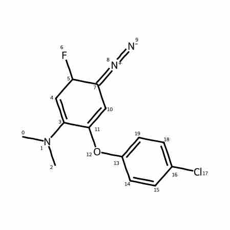 CN(C)C1=CC(F)C(=[N+]=[N-])C=C1Oc1ccc(Cl)cc1